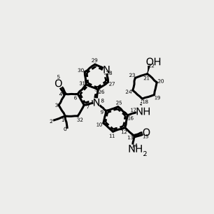 CC1(C)CC(=O)c2c(n(-c3ccc(C(N)=O)c(N[C@H]4CC[C@H](O)CC4)c3)c3cnccc23)C1